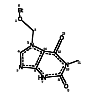 CCOCn1cnc2[nH]c(=O)n(C)c(=O)c21